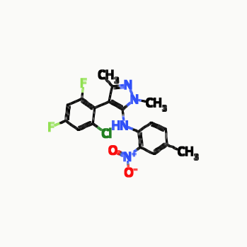 Cc1ccc(Nc2c(-c3c(F)cc(F)cc3Cl)c(C)nn2C)c([N+](=O)[O-])c1